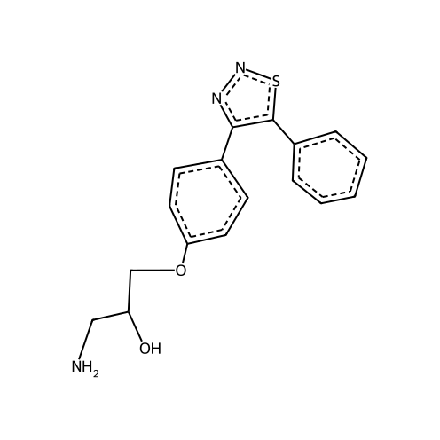 NCC(O)COc1ccc(-c2nnsc2-c2ccccc2)cc1